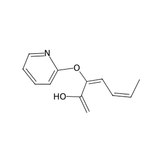 C=C(O)/C(=C\C=C/C)Oc1ccccn1